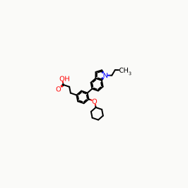 CCCn1ccc2cc(-c3cc(CCC(=O)O)ccc3OC3CCCCC3)ccc21